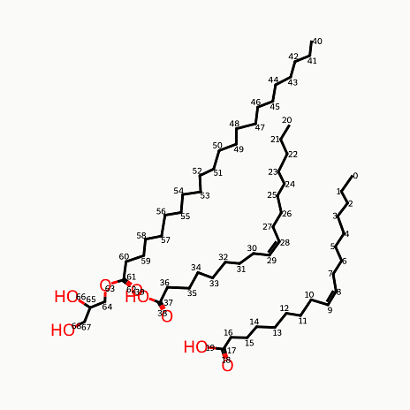 CCCCCCCC/C=C\CCCCCCCC(=O)O.CCCCCCCC/C=C\CCCCCCCC(=O)O.CCCCCCCCCCCCCCCCCCCCCC(=O)OCC(O)CO